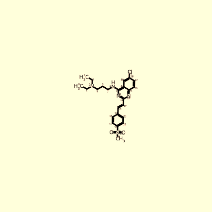 CCN(CC)CCCNc1nc(C=Cc2ccc(S(C)(=O)=O)cc2)nc2ccc(Cl)cc12